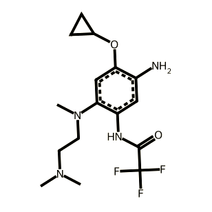 CN(C)CCN(C)c1cc(OC2CC2)c(N)cc1NC(=O)C(F)(F)F